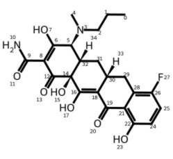 CCCN(C)[C@@H]1C(O)=C(C(N)=O)C(=O)[C@@]2(O)C(O)=C3C(=O)c4c(O)ccc(F)c4C[C@H]3C[C@@H]12